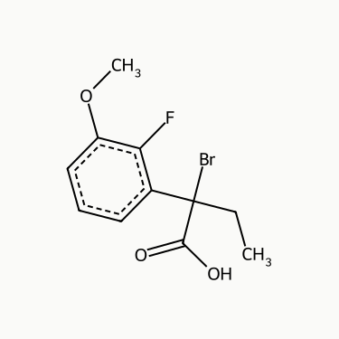 CCC(Br)(C(=O)O)c1cccc(OC)c1F